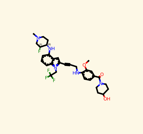 COc1cc(C(=O)N2CCC(O)CC2)ccc1NCC#Cc1cc2c(N[C@@H]3CCN(C)C[C@@H]3F)cccc2n1CC(F)(F)F